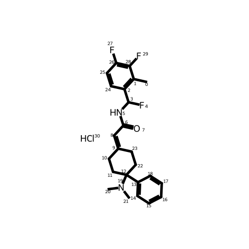 Cc1c(C(F)NC(=O)C=C2CCC(c3ccccc3)(N(C)C)CC2)ccc(F)c1F.Cl